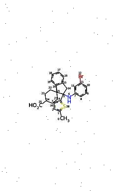 Cc1ccc(C2(Nc3cccc(Br)c3)Cc3ccccc3C23CCC(C(=O)O)CC3)s1